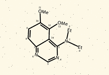 CCN(CC)c1ncnc2ccc(OC)c(OC)c12